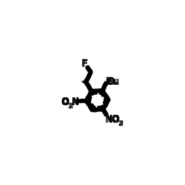 CCC(C)c1cc([N+](=O)[O-])cc([N+](=O)[O-])c1[CH]CF